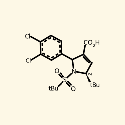 CC(C)(C)[C@@H]1C=C(C(=O)O)C(c2ccc(Cl)c(Cl)c2)N1S(=O)(=O)C(C)(C)C